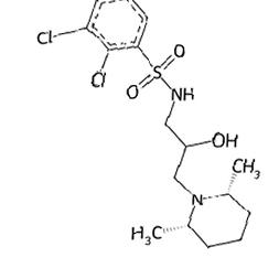 C[C@@H]1CCC[C@H](C)N1CC(O)CNS(=O)(=O)c1cccc(Cl)c1Cl